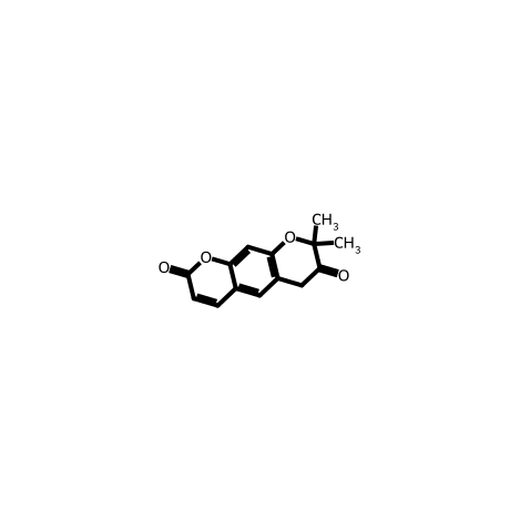 CC1(C)Oc2cc3oc(=O)ccc3cc2CC1=O